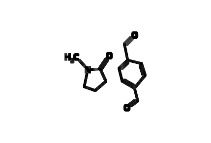 CN1CCCC1=O.O=Cc1ccc(C=O)cc1